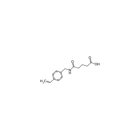 C=Cc1ccc(CNC(=O)CCCC(=O)O)cc1